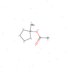 CC(C)C(=O)OC1(C(C)(C)C)CCCC1